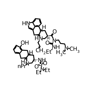 C=CCN1C[C@H](C(=O)N(CCCN(C)C)C(=O)NCC)C[C@@H]2c3cccc4[nH]cc(c34)C[C@H]21.CCCN1C[C@@H](NS(=O)(=O)N(CC)CC)C[C@@H]2Cc3c(O)cccc3C[C@H]21